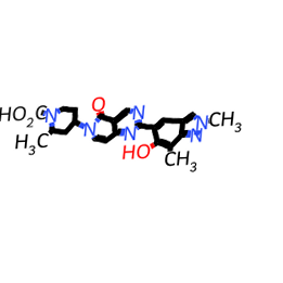 Cc1c(O)c(-c2ncc3c(=O)n(C4CCN(C(=O)O)C(C)C4)ccc3n2)cc2cn(C)nc12